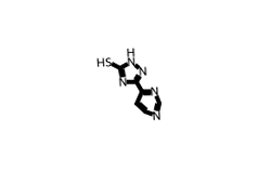 Sc1nc(-c2ccncn2)n[nH]1